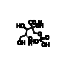 O=C(O)[C@@](O)(COP(=O)(O)O)[C@H](O)[C@H](O)CO